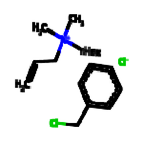 C=CC[N+](C)(C)CCCCCC.ClCc1ccccc1.[Cl-]